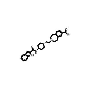 CC(C)C(=O)c1ccc2c(c1)CCN(CC[C@H]1CC[C@H](NC(=O)c3cc4ccccc4[nH]3)CC1)CC2